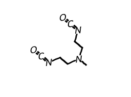 CN(CCN=C=O)CCN=C=O